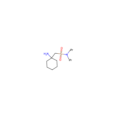 CC(C)N(C(C)C)S(=O)(=O)CC1(N)CCCCC1